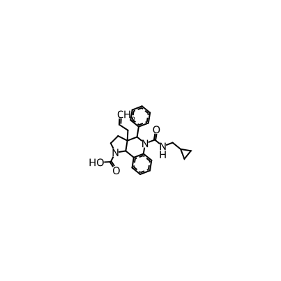 C=CCC12CCN(C(=O)O)C1c1ccccc1N(C(=O)NCC1CC1)C2c1ccccc1